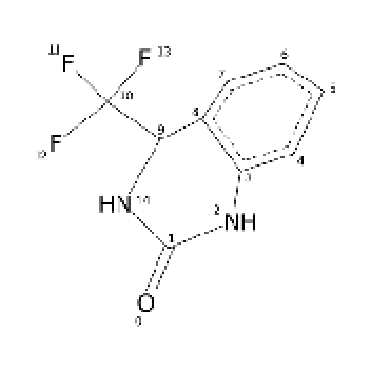 O=C1Nc2ccccc2C(C(F)(F)F)N1